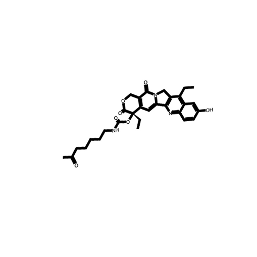 CCc1c2c(nc3ccc(O)cc13)-c1cc3c(c(=O)n1C2)COC(=O)[C@@]3(CC)OC(=O)NCCCCCC(C)=O